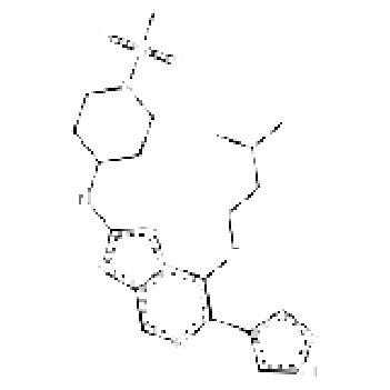 CC(C)CCOc1c(-c2cn[nH]c2)ncc2nc(NC3CCN(S(C)(=O)=O)CC3)nn12